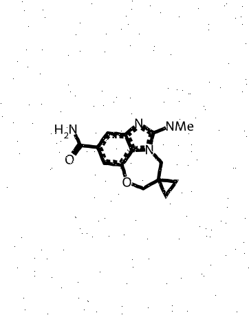 CNc1nc2cc(C(N)=O)cc3c2n1CC1(CC1)CO3